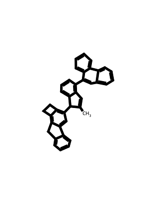 CC1=Cc2c(-c3cc4ccccc4c4ccccc34)cccc2C1c1cc2c(c3c1CC3)[CH]c1ccccc1-2